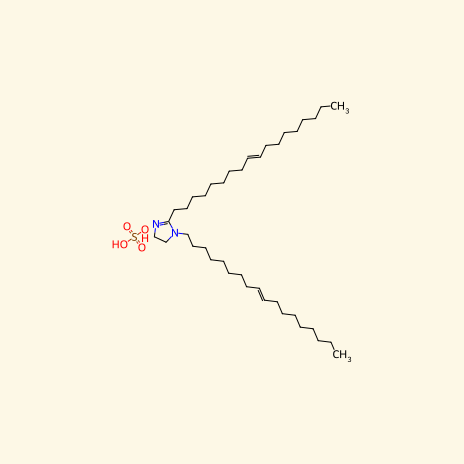 CCCCCCCCC=CCCCCCCCCC1=NCCN1CCCCCCCCC=CCCCCCCCC.O=S(=O)(O)O